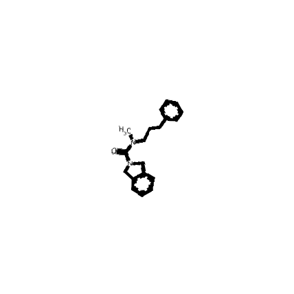 CN(CCCc1ccccc1)C(=O)N1Cc2ccccc2C1